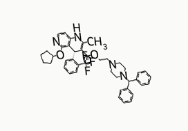 CC1=C(C(=O)OCCN2CCN(C(c3ccccc3)c3ccccc3)CC2)[C@H](c2ccccc2C(F)(F)F)c2c(ccnc2OC2CCCC2)N1